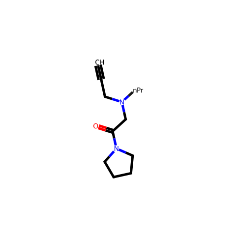 C#CCN(CCC)CC(=O)N1CCCC1